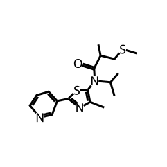 CSCC(C)C(=O)N(c1sc(-c2cccnc2)nc1C)C(C)C